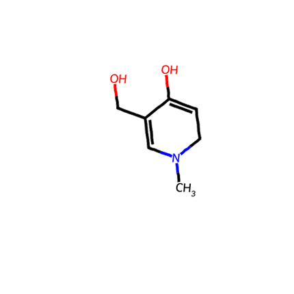 CN1C=C(CO)C(O)=CC1